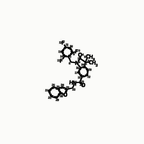 CC1(C)C(=O)N(Cc2c(F)cc(F)cc2F)c2cc(C(=O)NCc3cc4ccccc4o3)ccc21